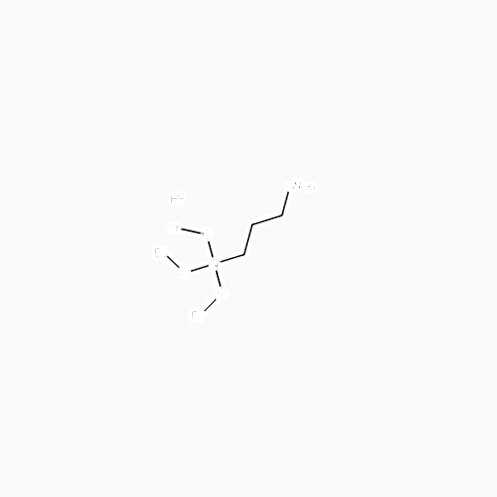 CCCCCCCCCCCC[Si](OCC)(OCC)OCC.F